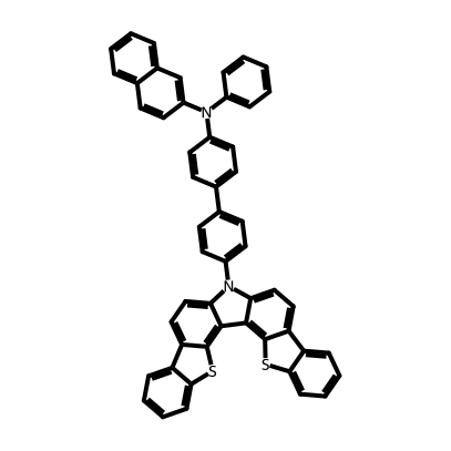 c1ccc(N(c2ccc(-c3ccc(-n4c5ccc6c7ccccc7sc6c5c5c6sc7ccccc7c6ccc54)cc3)cc2)c2ccc3ccccc3c2)cc1